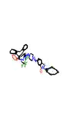 O=C1c2cc(N3CCN(CCC4(C(=O)NCC(F)(F)F)c5ccccc5-c5ccccc54)CC3)ccc2CN1C1CCCCC1